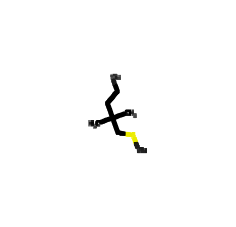 CC(C)(C)CCC(C)(C)CSC(C)(C)C